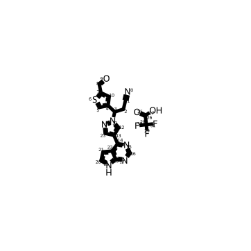 N#CCC(c1csc(C=O)c1)n1cc(-c2ncnc3[nH]ccc23)cn1.O=C(O)C(F)(F)F